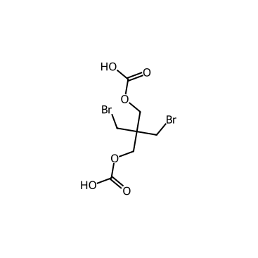 O=C(O)OCC(CBr)(CBr)COC(=O)O